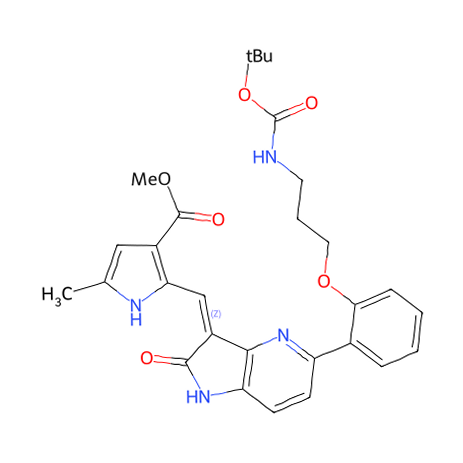 COC(=O)c1cc(C)[nH]c1/C=C1\C(=O)Nc2ccc(-c3ccccc3OCCCNC(=O)OC(C)(C)C)nc21